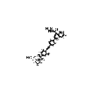 NNC(=O)c1cc(-c2ccc(C#Cc3ccc(S(=O)(=O)N4CCC[C@@H]4C(=O)O)cc3F)cc2)nc2ccncc12